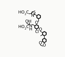 Cc1c(COc2cc(OCc3cccc(-c4nc(CC(=O)O)cs4)c3)c(CNC(C)(CO)C(=O)O)cc2Cl)cccc1-c1ccc2c(c1)OCCO2